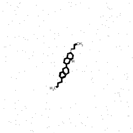 C=CCCc1ccc2c(c1)CCC(C1CCC3C[C@H](CCC=C)CC[C@@H]3C1)C2